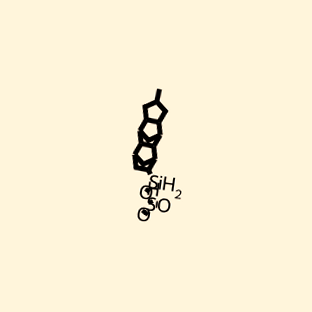 CC1CC2C(C1)C1CC2C2C3CC([SiH2]O[SH](=O)=O)C(C3)C12